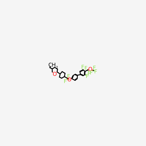 C=CC1CCC(C2CCC(C(F)(F)Oc3ccc(-c4cc(F)c(C(F)(F)OC(F)(F)F)c(F)c4)cc3)CC2)OC1